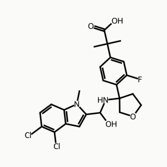 Cn1c(C(O)NC2(c3ccc(C(C)(C)C(=O)O)cc3F)CCOC2)cc2c(Cl)c(Cl)ccc21